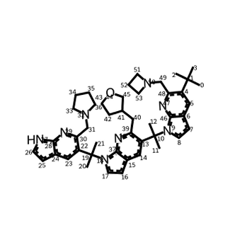 CC(C)(C)c1cc2ccn(C(C)(C)c3cc4ccn(C(C)(C)c5cc6cc[nH]c6nc5CN5CCCC5)c4nc3CC3CCOC3)c2nc1CN1CCC1